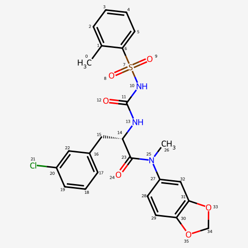 Cc1ccccc1S(=O)(=O)NC(=O)N[C@@H](Cc1cccc(Cl)c1)C(=O)N(C)c1ccc2c(c1)OCO2